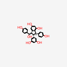 Oc1ccc([C@@H]2c3c(O)cc(O)cc3[C@H]([C@H](O)c3ccc(O)cc3)[C@H]2c2cc(O)cc(O)c2)cc1